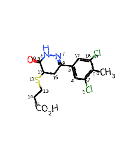 Cc1c(Cl)cc(C2=NNC(=O)C(SCCC(=O)O)C2)cc1Cl